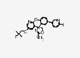 CC(C)(F)COc1cnc2c(c1)[C@]1(COC(N)=N1)c1cc(-c3ccc(F)nc3)ccc1O2